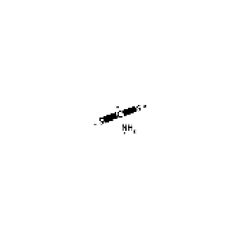 N.S=C=S